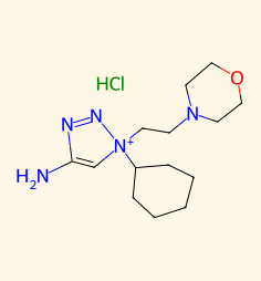 Cl.NC1=C[N+](CCN2CCOCC2)(C2CCCCC2)N=N1